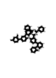 Cc1ccc(-c2ccc3c(c2)c2ccccc2n3-c2ccc(-c3cccc4sc5ccccc5c34)cc2-c2nc(-c3ccccc3)nc(-c3ccccc3)n2)c(C)c1